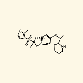 CCOC(=O)C(C)(Cc1ccc(OC(C)C2CCCCN2)cc1)S(=O)(=O)c1ccoc1C